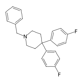 Fc1ccc(C2(c3ccc(F)cc3)CCN(Cc3ccccc3)CC2)cc1